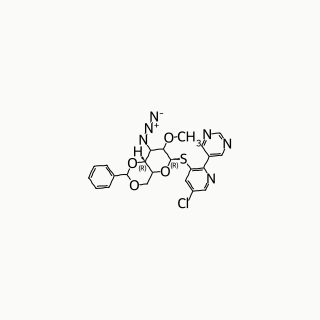 COC1C(N=[N+]=[N-])[C@H]2OC(c3ccccc3)OCC2O[C@@H]1Sc1cc(Cl)cnc1-c1cncnc1